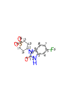 O=c1[nH]c2cc(F)ccc2n1C1CCS(=O)(=O)CC1